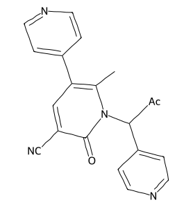 CC(=O)C(c1ccncc1)n1c(C)c(-c2ccncc2)cc(C#N)c1=O